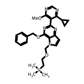 COc1ncnc(C2CC2)c1-c1nc(OCc2ccccc2)c2c(ccn2COCC[Si](C)(C)C)n1